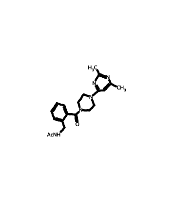 CC(=O)NCc1ccccc1C(=O)N1CCN(c2cc(C)nc(C)n2)CC1